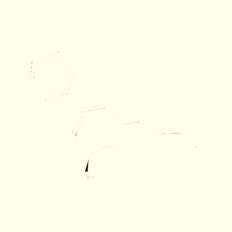 CC(C)(C)[S@+]([O-])/N=C(\CCCCCCl)c1ccccc1